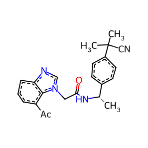 CC(=O)c1cccc2ncn(CC(=O)N[C@@H](C)c3ccc(C(C)(C)C#N)cc3)c12